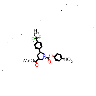 COC(=O)C1CC(c2ccc(C(C)(F)F)cc2)CN(C(=O)Oc2ccc([N+](=O)[O-])cc2)C1